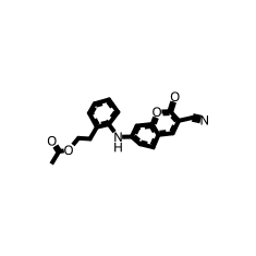 CC(=O)OCCc1ccccc1Nc1ccc2cc(C#N)c(=O)oc2c1